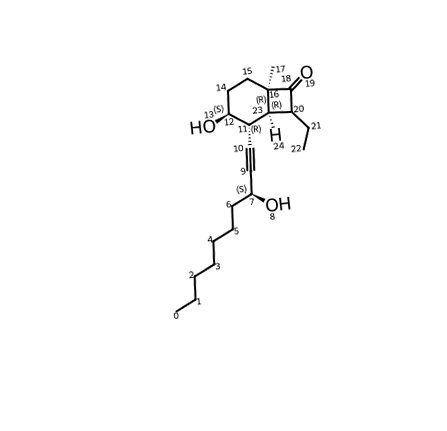 CCCCCCC[C@H](O)C#C[C@@H]1[C@@H](O)CC[C@@]2(C)C(=O)C(CC)[C@@H]12